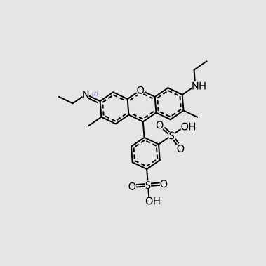 CC/N=c1/cc2oc3cc(NCC)c(C)cc3c(-c3ccc(S(=O)(=O)O)cc3S(=O)(=O)O)c-2cc1C